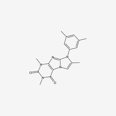 Cc1cc(C)cc(-n2c(C)cn3c4c(=O)n(C)c(=O)n(C)c4nc23)c1